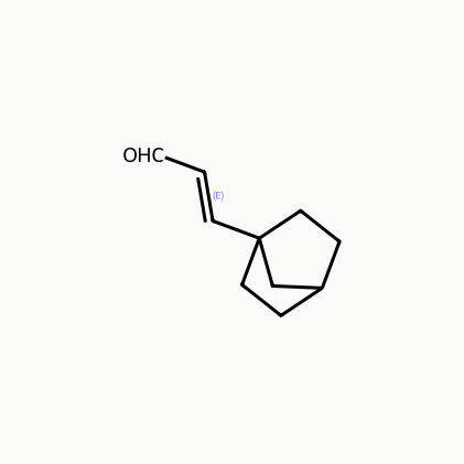 O=C/C=C/C12CCC(CC1)C2